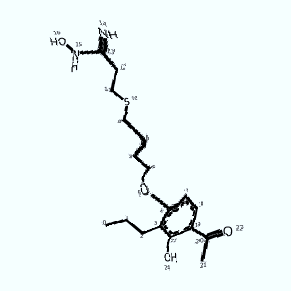 CCCc1c(OCCCCSCCC(=N)NO)ccc(C(C)=O)c1O